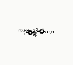 CCCCNC(=O)c1ccc(S(=O)(=O)NC(=O)c2ccc(C(=O)OCC)nc2)cc1